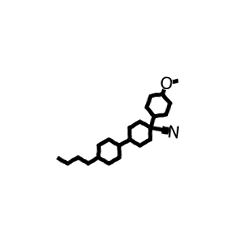 CCCCC1CCC(C2CCC(C#N)(C3CCC(OC)CC3)CC2)CC1